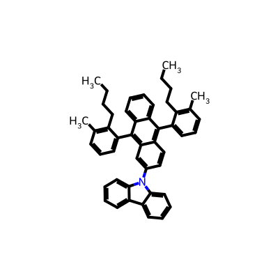 CCCCc1c(C)cccc1-c1c2ccccc2c(-c2cccc(C)c2CCCC)c2cc(-n3c4ccccc4c4ccccc43)ccc12